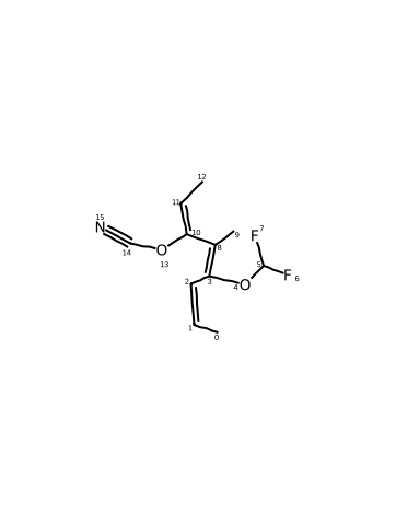 C\C=C/C(OC(F)F)=C(C)\C(=C/C)OC#N